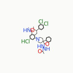 CCC(Cc1c(C(=O)NC)cccc1N1CCC(C(=O)NNC(C)=O)(c2ccccc2)CC1)c1ccc(Cl)c(Cl)c1.Cl